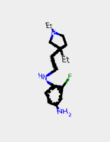 CCN1CCC(CC)(CCNc2ccc(N)cc2F)C1